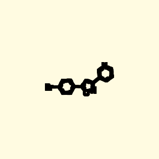 Brc1ccc(-c2cc(-c3cccnc3)no2)cc1